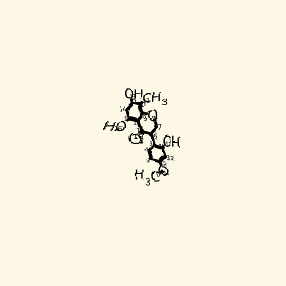 COc1ccc(C2COc3c(C)c(O)cc(O)c3C2=O)c(O)c1